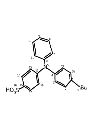 CCC(C)c1ccc(N(c2ccccc2)c2ccc(S(=O)(=O)O)cc2)cc1